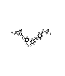 CCS(=O)(=O)CCCOc1ccc2c(c1)CCCc1ccc(CNc3ccc(C4CC4C(=O)O)cc3)cc1-2